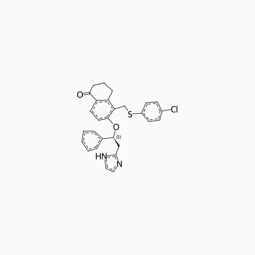 O=C1CCCc2c1ccc(O[C@@H](Cc1ncc[nH]1)c1ccccc1)c2CSc1ccc(Cl)cc1